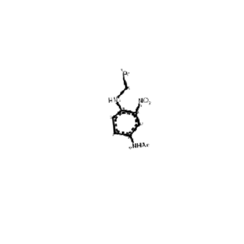 CC(=O)Nc1ccc(NCC(C)C)c([N+](=O)[O-])c1